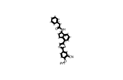 CC(C)Oc1ccc(-c2ncc(-c3cccc4c3CCC4NC(=O)Cc3ccccc3)s2)cc1C#N